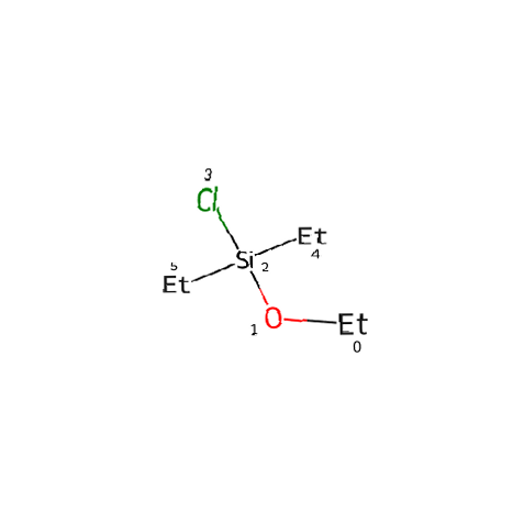 CCO[Si](Cl)(CC)CC